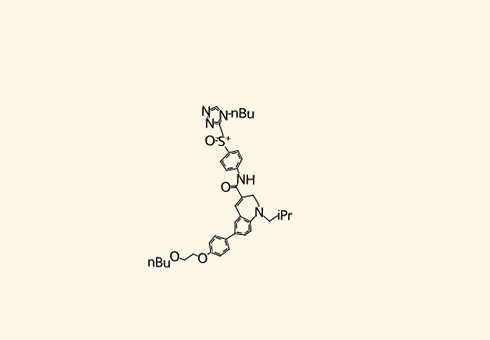 CCCCOCCOc1ccc(-c2ccc3c(c2)C=C(C(=O)Nc2ccc([S+]([O-])Cc4nncn4CCCC)cc2)CCN3CC(C)C)cc1